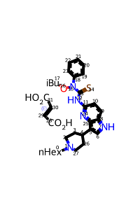 CCCCCCN1CCC(c2c[nH]c3ccc(NC(=S)N(OC(C)CC)c4ccccc4)nc23)CC1.O=C(O)/C=C/C(=O)O